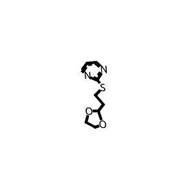 c1cnc(SCCC2OCCO2)nc1